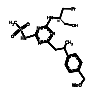 COCc1ccc(C(C)Cc2nc(N[C@@H](CO)CC(C)C)nc(NS(C)(=O)=O)n2)cc1